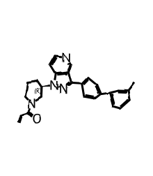 C=CC(=O)N1CCC[C@@H](n2nc(-c3ccc(-c4cccc(C)c4)cc3)c3cnccc32)C1